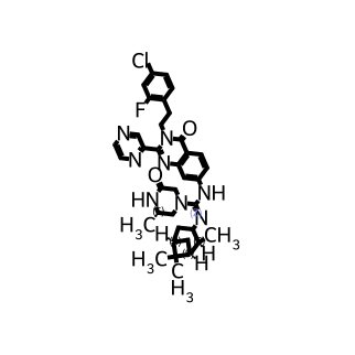 C[C@@H]1C(/N=C(/Nc2ccc3c(=O)n(CCc4ccc(Cl)cc4F)c(-c4cnccn4)nc3c2)N2CC(=O)N[C@@H](C)C2)C[C@H]2C[C@@H]1C2(C)C